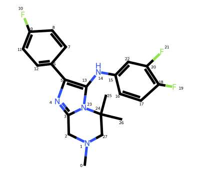 CN1Cc2nc(-c3ccc(F)cc3)c(Nc3ccc(F)c(F)c3)n2C(C)(C)C1